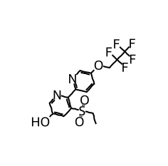 CCS(=O)(=O)c1cc(O)cnc1-c1ccc(OCC(F)(F)C(F)(F)F)cn1